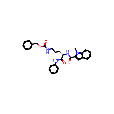 Cn1c(C(=O)N[C@@H](CCCNC(=O)OCc2ccccc2)C(=O)Nc2c[c]ccc2)cc2ccccc21